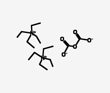 CC[N+](CC)(CC)CC.CC[N+](CC)(CC)CC.O=C([O-])OC(=O)[O-]